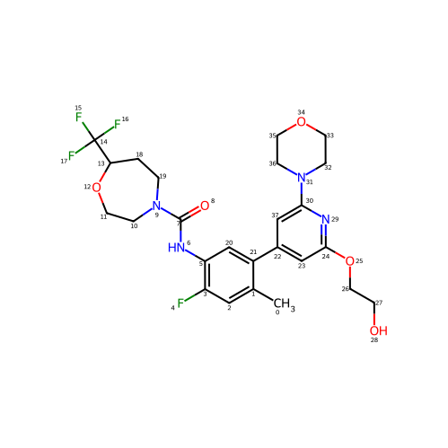 Cc1cc(F)c(NC(=O)N2CCOC(C(F)(F)F)CC2)cc1-c1cc(OCCO)nc(N2CCOCC2)c1